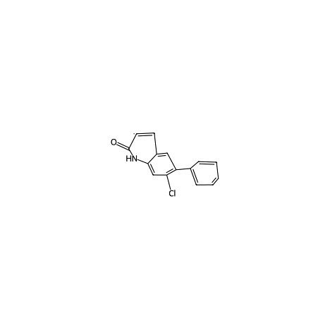 O=c1[c]cc2cc(-c3ccccc3)c(Cl)cc2[nH]1